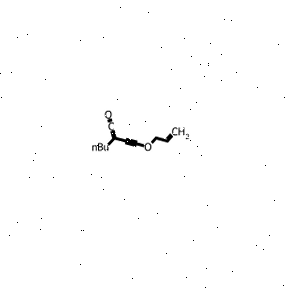 C=CCOC#CC(=C=O)CCCC